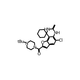 C=C1Nc2c(Cl)cc3cc(C(=O)N4CCN(C(C)(C)C)CC4)oc3c2C2(CCCCC2)N1